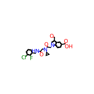 O=Cc1cn(CC(=O)N(CC(=O)NCc2cccc(Cl)c2F)C2CC2)c2ccc(C(=O)O)cc12